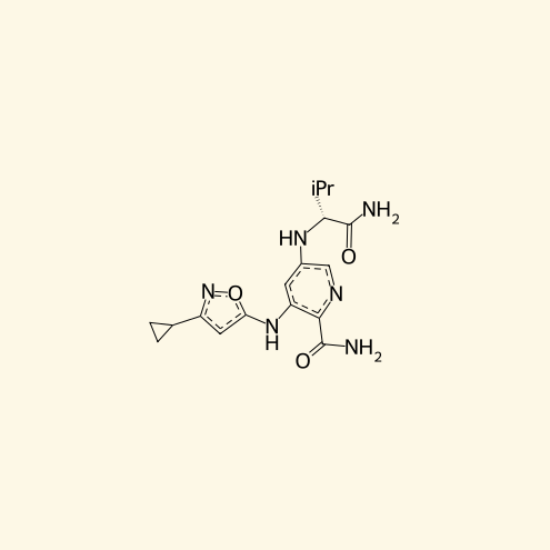 CC(C)[C@@H](Nc1cnc(C(N)=O)c(Nc2cc(C3CC3)no2)c1)C(N)=O